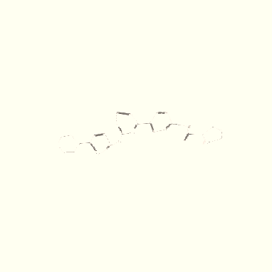 O=C(Nc1ccc(-c2ccnc(Nc3ccc(N4CCOCC4)nc3)n2)cc1)[C@H]1CCCN1